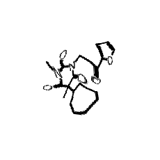 CN1C(=O)N(CC(=O)c2ccco2)C(=O)C(C)(C2CCCCCC2)C1=O